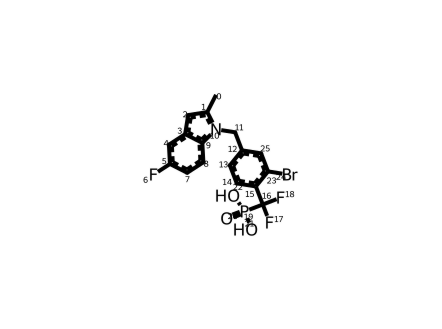 Cc1cc2cc(F)ccc2n1Cc1ccc(C(F)(F)P(=O)(O)O)c(Br)c1